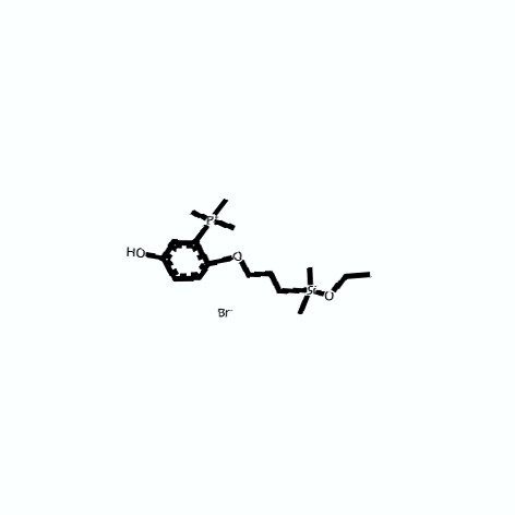 CCO[Si](C)(C)CCCOc1ccc(O)cc1[P+](C)(C)C.[Br-]